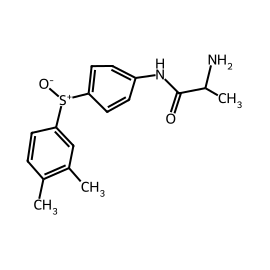 Cc1ccc([S+]([O-])c2ccc(NC(=O)C(C)N)cc2)cc1C